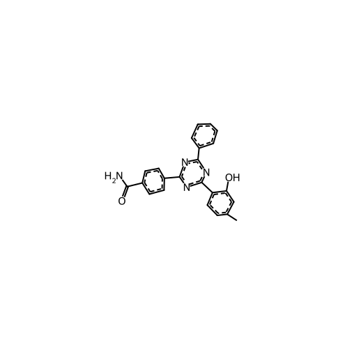 Cc1ccc(-c2nc(-c3ccccc3)nc(-c3ccc(C(N)=O)cc3)n2)c(O)c1